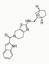 O=C(c1cc2ccccc2[nH]1)N1CCc2nc(NC[C@H]3C[C@@H]4CC[C@H]3O4)sc2C1